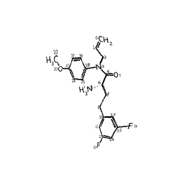 C=CCN(C(=O)[C@@H](N)CCc1cc(F)cc(F)c1)c1ccc(OC)cc1